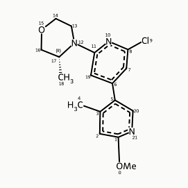 COc1cc(C)c(-c2cc(Cl)nc(N3CCOC[C@H]3C)c2)cn1